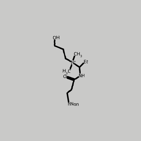 CCCCCCCCCCCC(=O)NC(CC)[N+](C)(C)CCCO